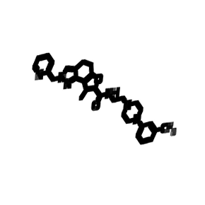 Cc1c(C(=O)NCCN2CCN(c3cccc(C(F)(F)F)c3)CC2)oc2c1-c1nn(Cc3ccccn3)cc1CC2